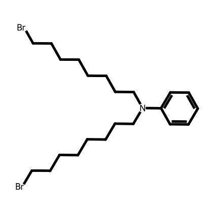 BrCCCCCCCCN(CCCCCCCCBr)c1ccccc1